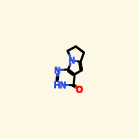 O=c1[nH]cnc2c1cc1n2CCC1